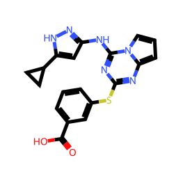 O=C(O)c1cccc(Sc2nc(Nc3cc(C4CC4)[nH]n3)n3cccc3n2)c1